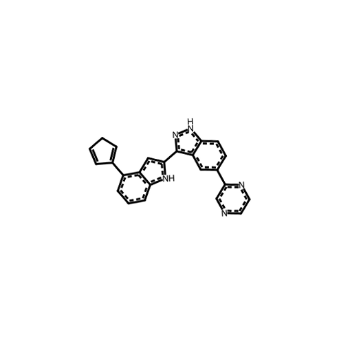 C1=CC(c2cccc3[nH]c(-c4n[nH]c5ccc(-c6cnccn6)cc45)cc23)=CC1